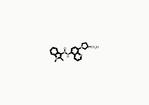 CCOC(=O)[C@@H]1CCN(c2ccc(N[S+]([O-])c3c(C)n(C)c4ccccc34)c3cccnc23)C1